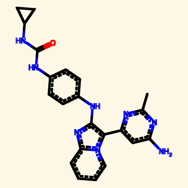 Cc1nc(N)cc(-c2c(Nc3ccc(NC(=O)NC4CC4)cc3)nc3ccccn23)n1